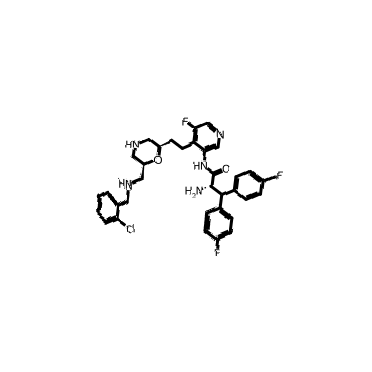 N[C@H](C(=O)Nc1cncc(F)c1CC[C@@H]1CNC[C@H](CNCc2ccccc2Cl)O1)C(c1ccc(F)cc1)c1ccc(F)cc1